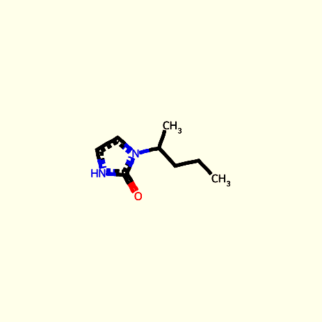 CCCC(C)n1cc[nH]c1=O